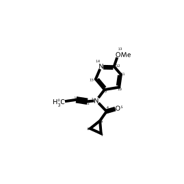 CC#CN(C(=O)C1CC1)c1ccc(OC)nc1